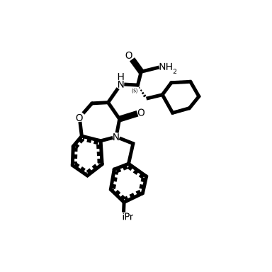 CC(C)c1ccc(CN2C(=O)C(N[C@@H](CC3CCCCC3)C(N)=O)COc3ccccc32)cc1